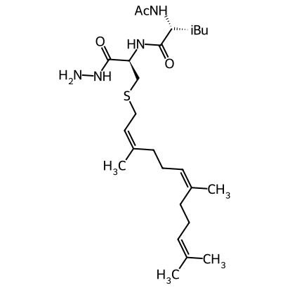 CC[C@@H](C)[C@@H](NC(C)=O)C(=O)N[C@@H](CSCC=C(C)CCC=C(C)CCC=C(C)C)C(=O)NN